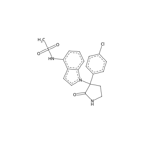 CS(=O)(=O)Nc1cccc2c1ccn2C1(c2ccc(Cl)cc2)CCNC1=O